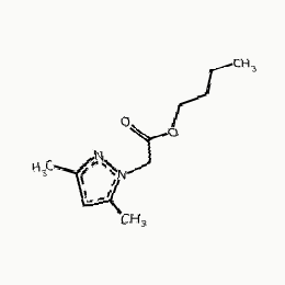 CCCCOC(=O)Cn1nc(C)cc1C